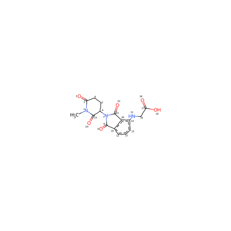 CN1C(=O)CCC(N2C(=O)c3cccc(NCC(=O)O)c3C2=O)C1=O